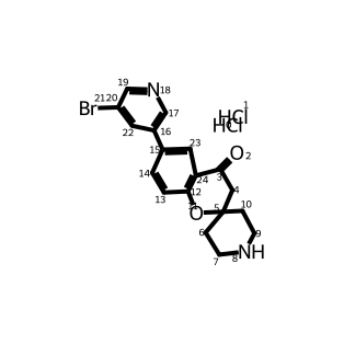 Cl.Cl.O=C1CC2(CCNCC2)Oc2ccc(-c3cncc(Br)c3)cc21